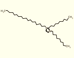 CCCCCCCCCCCCCCCCCCn1cc[n+](CCCCCCCCC)c1CCCCCCCCC